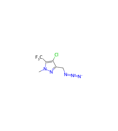 Cn1nc(CN=[N+]=[N-])c(Cl)c1C(F)(F)F